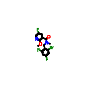 COc1ncc(F)cc1C(=O)N(C)Cc1c(F)cc(F)cc1Br